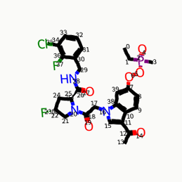 CCP(C)(=O)OOc1ccc2c(C(C)=O)cn(CC(=O)N3C[C@H](F)C[C@H]3C(=O)NCc3cccc(Cl)c3F)c2c1